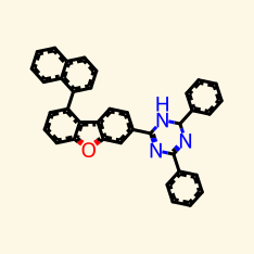 c1ccc(C2=NC(c3ccccc3)NC(c3ccc4c(c3)oc3cccc(-c5cccc6ccccc56)c34)=N2)cc1